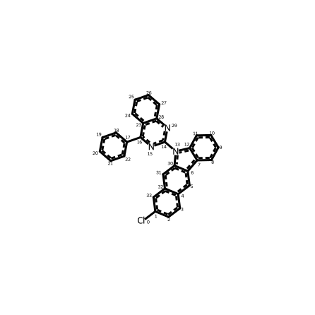 Clc1ccc2cc3c4ccccc4n(-c4nc(-c5ccccc5)c5ccccc5n4)c3cc2c1